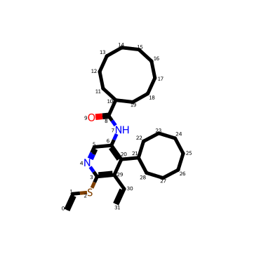 C=CSc1ncc(NC(=O)C2CCCCCCCCC2)c(C2CCCCCCC2)c1C=C